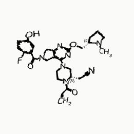 C=CC(=O)N1CCN(c2nc(OC[C@@H]3CCCN3C)nc3c2CN(C(=O)c2cc(O)ccc2F)C3)C[C@@H]1CC#N